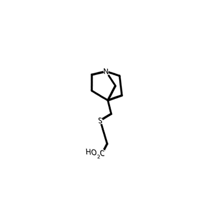 O=C(O)CSCC12CCN(CC1)C2